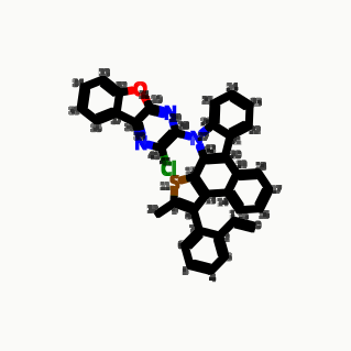 C=Cc1ccccc1-c1c(C)sc2c1c1ccccc1c1c3ccccc3n(-c3nc4oc5ccccc5c4nc3Cl)c21